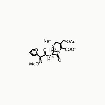 CON=C(C(=O)N[C@@H]1C(=O)N2C(C(=O)[O-])=C(COC(C)=O)CS[C@@H]12)c1ccco1.[Na+]